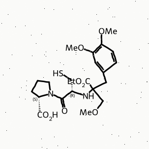 CCOC(=O)C(COC)(Cc1ccc(OC)c(OC)c1)N[C@@H](CS)C(=O)N1CCC[C@H]1C(=O)O